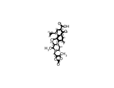 Cc1oc(=O)oc1CN1CCN(c2c(F)cc3c(=O)c(C(=O)O)cn(C4CC4)c3c2Cl)C(I)C1C